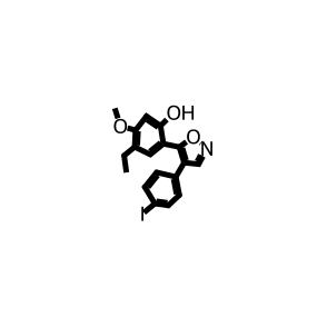 CCc1cc(-c2oncc2-c2ccc(I)cc2)c(O)cc1OC